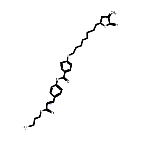 C=C1CC(CCCCCCCCOc2ccc(C(=O)Oc3ccc(/C=C/C(=O)OCCCC)cc3)cc2)OC1=O